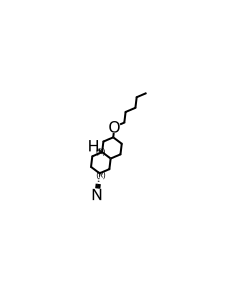 CCCCCOC1CCC2C[C@H](C#N)CC[C@@H]2C1